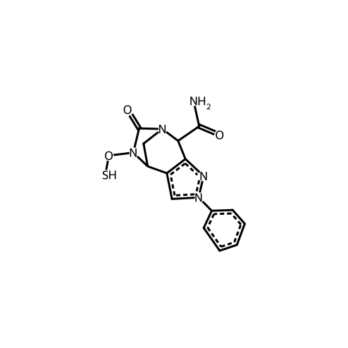 NC(=O)C1c2nn(-c3ccccc3)cc2C2CN1C(=O)N2OS